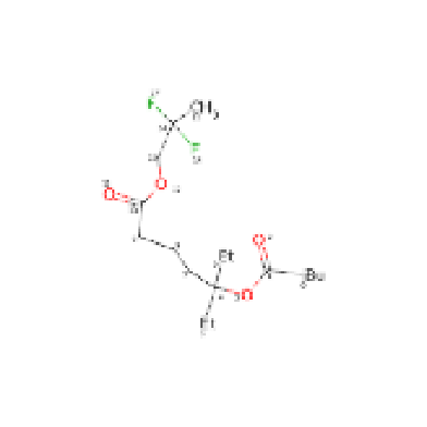 CCC(C)C(=O)OC(CC)(CC)CCCC(=O)OCC(C)(F)F